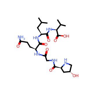 CC(C)C[C@H](NC(=O)[C@H](CCC(N)=O)NC(=O)CNC(=O)[C@@H]1C[C@@H](O)CN1)C(=O)N[C@H](C(=O)O)C(C)C